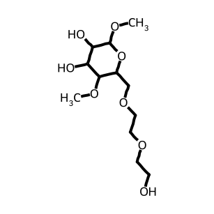 COC1OC(COCCOCCO)C(OC)C(O)C1O